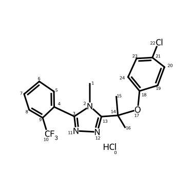 Cl.Cn1c(-c2ccccc2C(F)(F)F)nnc1C(C)(C)Oc1ccc(Cl)cc1